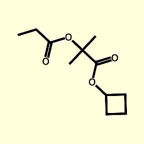 CCC(=O)OC(C)(C)C(=O)OC1CCC1